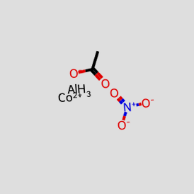 CC(=O)[O-].O=[N+]([O-])[O-].[AlH3].[Co+2]